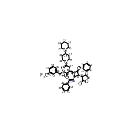 O=C1OC[C@H](c2ccccc2)C1[C@@H]1C(=O)N([C@H](CC(=O)N2CCC(N3CCCCC3)CC2)C(=O)NCc2cccc(C(F)(F)F)c2)[C@@H]1/C=C/c1ccccc1